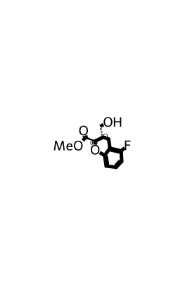 COC(=O)[C@@H]1Oc2cccc(F)c2C[C@H]1CO